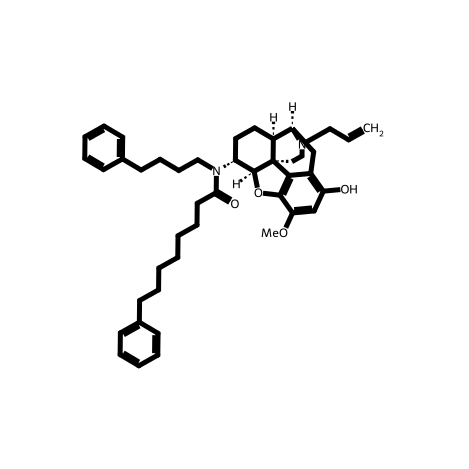 C=CCN1CC[C@]23c4c5c(O)cc(OC)c4O[C@H]2[C@H](N(CCCCc2ccccc2)C(=O)CCCCCCCc2ccccc2)CC[C@H]3[C@H]1C5